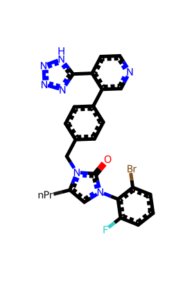 CCCc1cn(-c2c(F)cccc2Br)c(=O)n1Cc1ccc(-c2cnccc2-c2nnn[nH]2)cc1